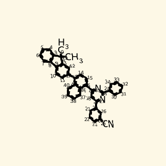 CC1(C)c2ccccc2-c2ccc(-c3ccc(-c4cc(-c5cccc(C#N)c5)nc(-c5ccccc5)n4)c4ccccc34)cc21